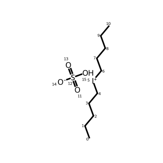 CCCCC[I+]CCCCC.O=S(=O)([O-])O